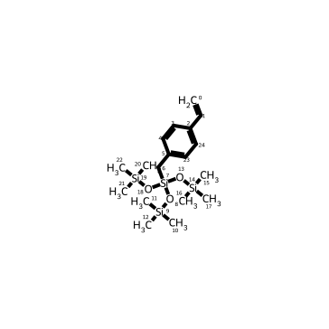 C=Cc1ccc(C[Si](O[Si](C)(C)C)(O[Si](C)(C)C)O[Si](C)(C)C)cc1